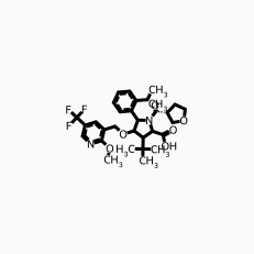 COc1ncc(C(F)(F)F)cc1COC1C(c2ccccc2C(C)C)N(C(=O)[C@@H]2CCOC2)C(C(=O)O)C1C(C)(C)C